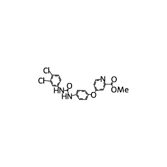 COC(=O)c1cc(Oc2ccc(NC(=O)Nc3ccc(Cl)c(Cl)c3)cc2)ccn1